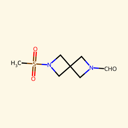 CS(=O)(=O)N1CC2(CN(C=O)C2)C1